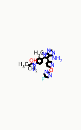 C=C(C)C(O)Nc1ccc(-c2c(-c3ccc(Oc4ncc(F)cn4)nc3)c3c(N)ncnc3n2C)cc1